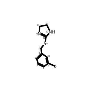 [CH2]c1cccc(CSC2=NCCN2)c1